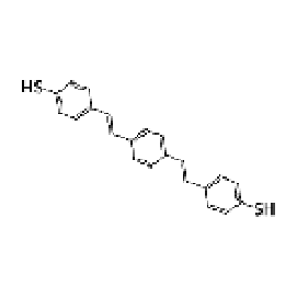 Sc1ccc(/C=C/c2ccc(/C=C/c3ccc(S)cc3)cc2)cc1